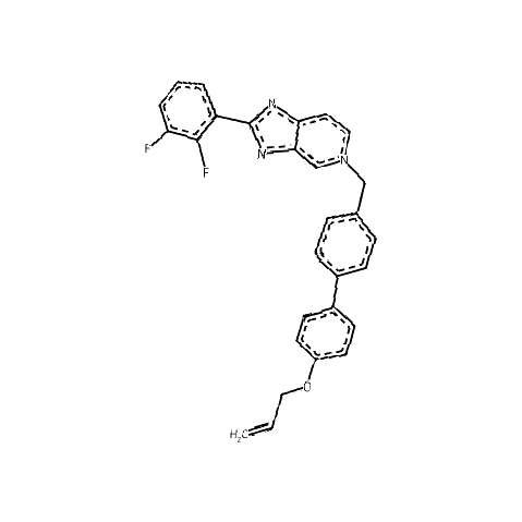 C=CCOc1ccc(-c2ccc(Cn3ccc4nc(-c5cccc(F)c5F)nc-4c3)cc2)cc1